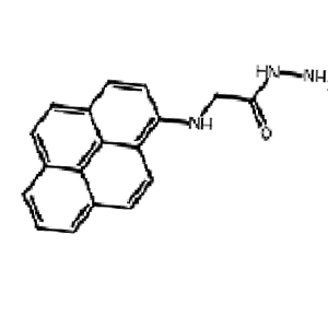 NNC(=O)CNc1ccc2ccc3cccc4ccc1c2c34